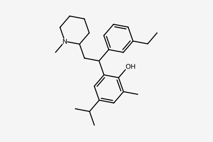 CCc1cccc(C(CC2CCCCN2C)c2cc(C(C)C)cc(C)c2O)c1